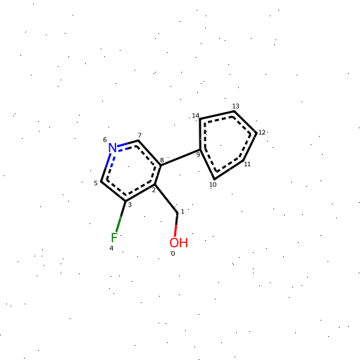 OCc1c(F)cncc1-c1ccccc1